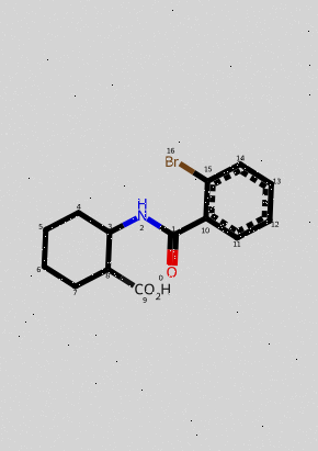 O=C(NC1CCCCC1C(=O)O)c1ccccc1Br